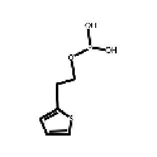 OP(O)OCCc1cccs1